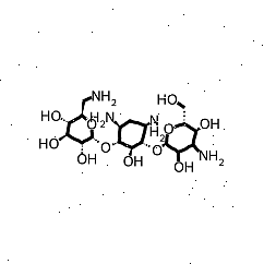 NC[C@H]1O[C@H](O[C@H]2[C@H](O)[C@@H](O[C@H]3O[C@H](CO)[C@@H](O)C(N)C3O)[C@H](N)C[C@@H]2N)[C@H](O)[C@@H](O)[C@@H]1O